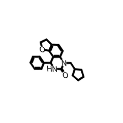 O=C1NC(c2ccccc2)c2c(ccc3c2OCC3)N1CC1CCCC1